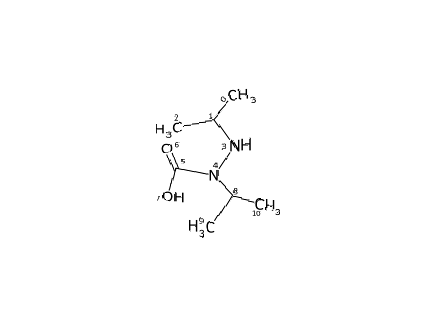 CC(C)NN(C(=O)O)C(C)C